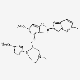 COc1ccc(N2CCN(C)CC2COc2cc(OC)cc3oc(-c4cn5nc(C)ccc5n4)cc23)cc1